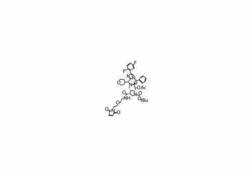 CC(=O)O[C@@H](C)C(=O)N(C[C@@H]1CN(C(=O)OC(C)(C)C)C[C@H]1C(=O)NCCOCCN1C(=O)C=CC1=O)[C@@H](c1nc(-c2cc(F)ccc2F)cn1Cc1ccccc1)C1CCOCC1